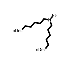 C[CH]N(CCCCCCCCCCCCCCC)CCCCCCCCCCCCCCC